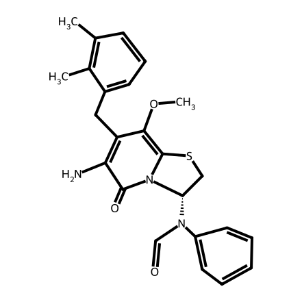 COc1c(Cc2cccc(C)c2C)c(N)c(=O)n2c1SC[C@@H]2N(C=O)c1ccccc1